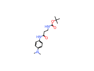 CN(C)c1ccc(NC(=O)CCNC(=O)OC(C)(C)C)cc1